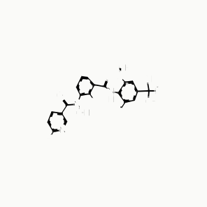 O=C(Nc1c(I)cc(C(F)(C(F)(F)F)C(F)(F)F)cc1OC(F)(F)F)c1cccc(N(O)C(=O)c2ccc(F)nc2)c1F